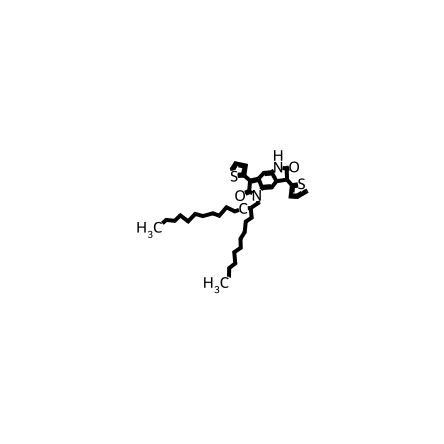 CCCCCCCCCCCCC(CCCCCCCCCC)CN1C(=O)C(c2cccs2)=C2C=C3NC(=O)C(c4cccs4)C3C=C21